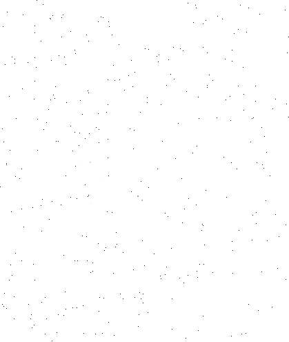 CCc1cnc(C(=O)O)c(F)c1